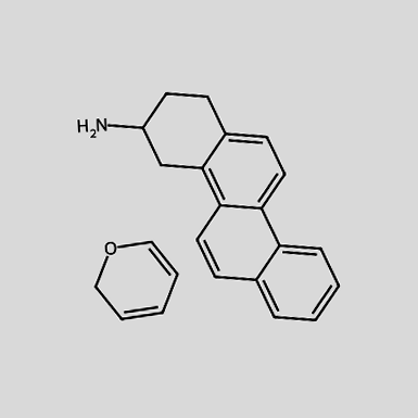 C1=CCOC=C1.NC1CCc2ccc3c(ccc4ccccc43)c2C1